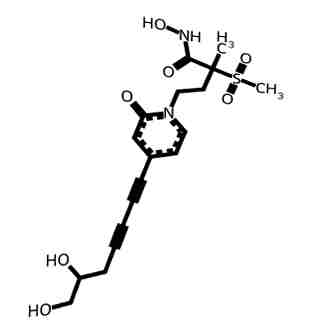 CC(CCn1ccc(C#CC#CCC(O)CO)cc1=O)(C(=O)NO)S(C)(=O)=O